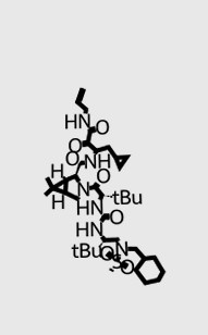 C=CCNC(=O)C(=O)C(CC1CC1)NC(=O)[C@@H]1[C@@H]2[C@H](CN1C(=O)[C@@H](NC(=O)N[C@H](CN(CC1CCCCC1)S(C)(=O)=O)C(C)(C)C)C(C)(C)C)C2(C)C